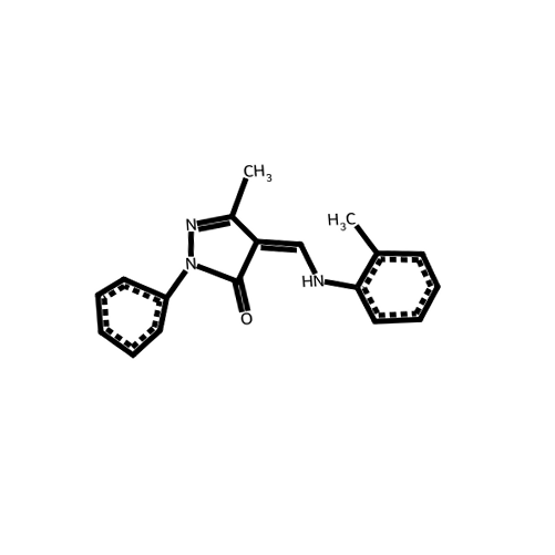 CC1=NN(c2ccccc2)C(=O)C1=CNc1ccccc1C